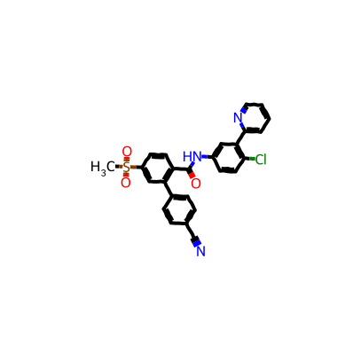 CS(=O)(=O)c1ccc(C(=O)Nc2ccc(Cl)c(-c3ccccn3)c2)c(-c2ccc(C#N)cc2)c1